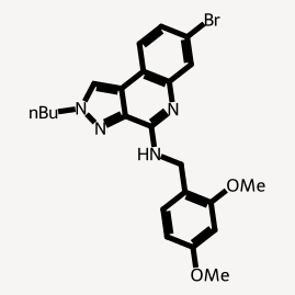 CCCCn1cc2c(n1)c(NCc1ccc(OC)cc1OC)nc1cc(Br)ccc12